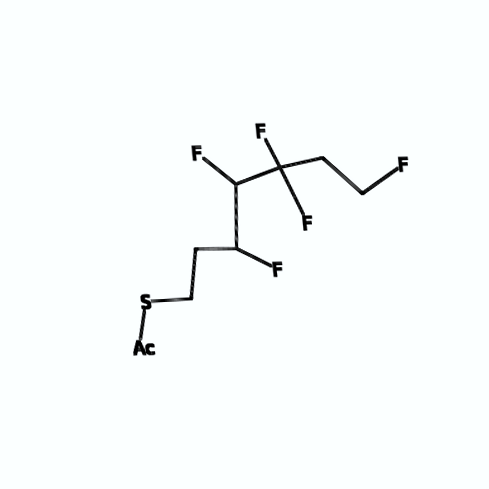 CC(=O)SCCC(F)C(F)C(F)(F)CCF